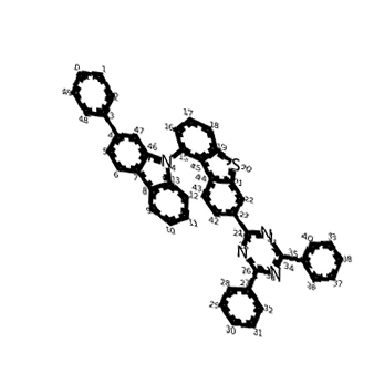 c1ccc(-c2ccc3c4ccccc4n(-c4cccc5sc6cc(-c7nc(-c8ccccc8)nc(-c8ccccc8)n7)ccc6c45)c3c2)cc1